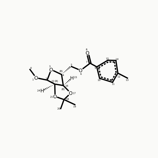 COC1O[C@H](COC(=O)c2ccc(C)cc2)[C@H]2OC(C)(C)O[C@@H]12